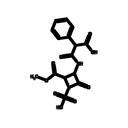 COC(=O)C1C(NC(=O)C(C(=O)O)c2ccccc2)C(=O)N1S(=O)(=O)O